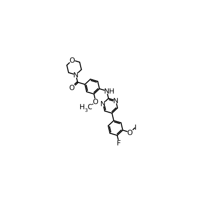 COc1cc(C(=O)N2CCOCC2)ccc1Nc1ncc(-c2ccc(F)c(OI)c2)cn1